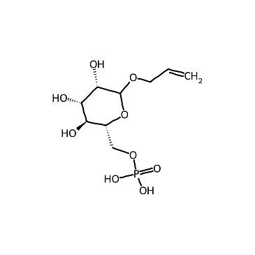 C=CCOC1O[C@H](COP(=O)(O)O)[C@@H](O)[C@H](O)[C@@H]1O